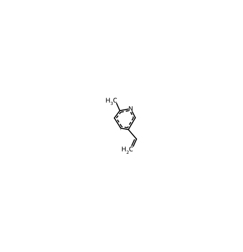 C=Cc1[c]cc(C)nc1